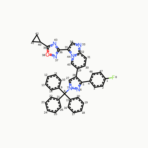 Fc1ccc(-c2nn(C(c3ccccc3)(c3ccccc3)c3ccccc3)cc2-c2ccc3ncc(-c4noc(C5CC5)n4)n3c2)cc1